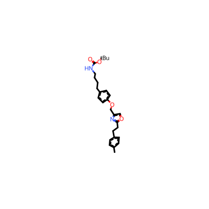 Cc1ccc(CCc2nc(COc3ccc(CCCCNC(=O)OC(C)(C)C)cc3)co2)cc1